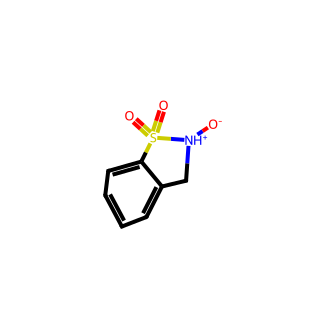 O=S1(=O)c2ccccc2C[NH+]1[O-]